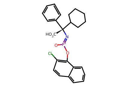 O=C(O)[C@@](/N=[P+](\[O-])Oc1c(Cl)ccc2ccccc12)(c1ccccc1)C1CCCCC1